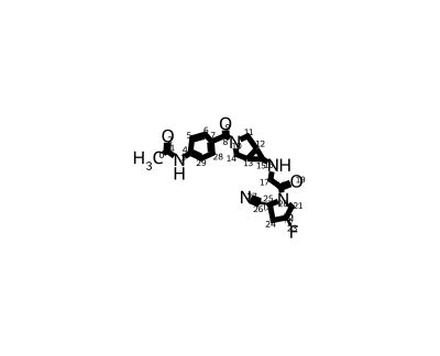 CC(=O)Nc1ccc(C(=O)N2CC3C(C2)C3NCC(=O)N2C[C@@H](F)C[C@H]2C#N)cc1